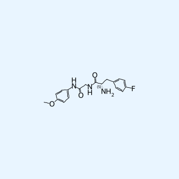 COc1ccc(NC(=O)CNC(=O)[C@@H](N)Cc2ccc(F)cc2)cc1